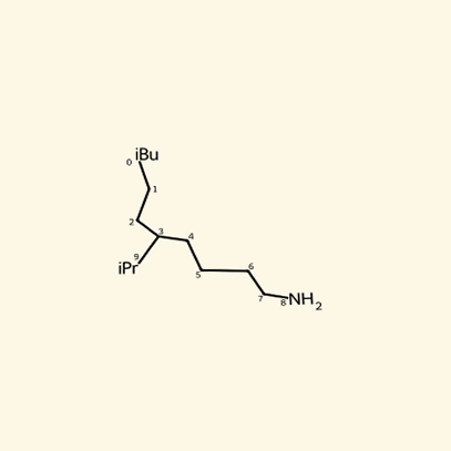 CCC(C)CCC(CCCCN)C(C)C